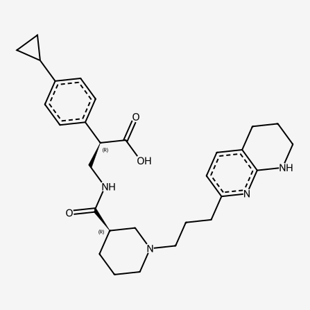 O=C(NC[C@H](C(=O)O)c1ccc(C2CC2)cc1)[C@@H]1CCCN(CCCc2ccc3c(n2)NCCC3)C1